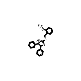 FC(F)(F)Oc1ccccc1CSC1=NC(c2ccccc2)C(c2ccccc2)N1